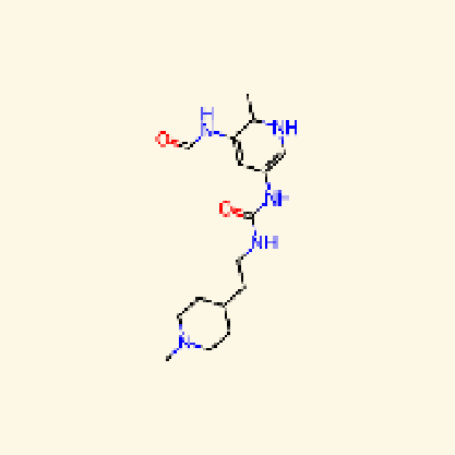 CC1NC=C(NC(=O)NCCC2CCN(C)CC2)C=C1NC=O